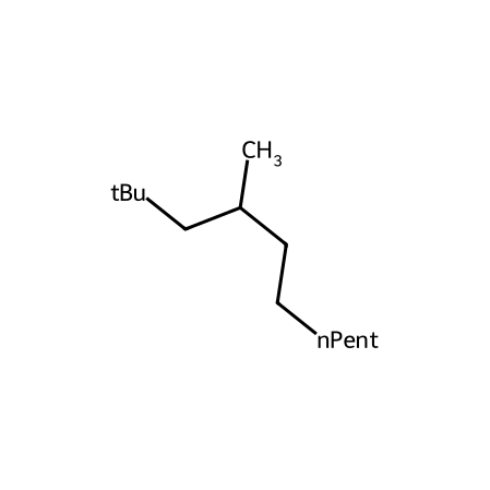 [CH2]CCCCCCC(C)CC(C)(C)C